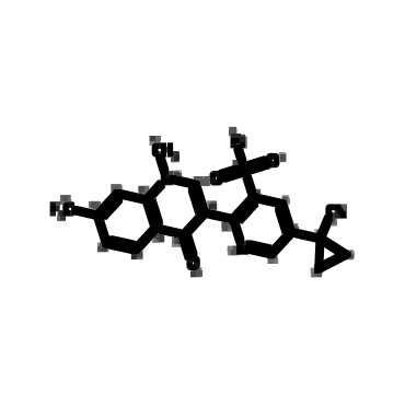 CCS(=O)(=O)c1cc(C2(C#N)CC2)cnc1-c1cn(C)c2cc(C(F)(F)F)ccc2c1=O